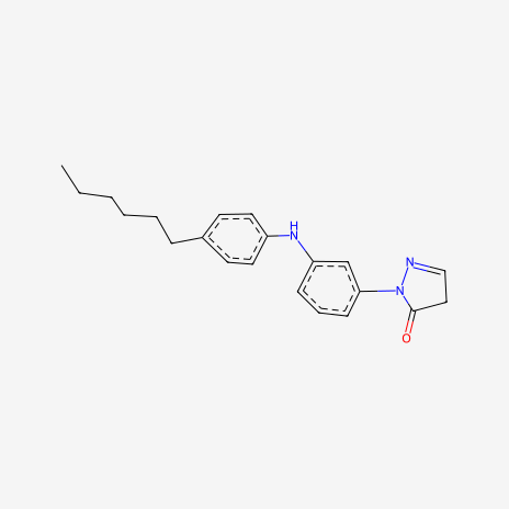 CCCCCCc1ccc(Nc2cccc(N3N=CCC3=O)c2)cc1